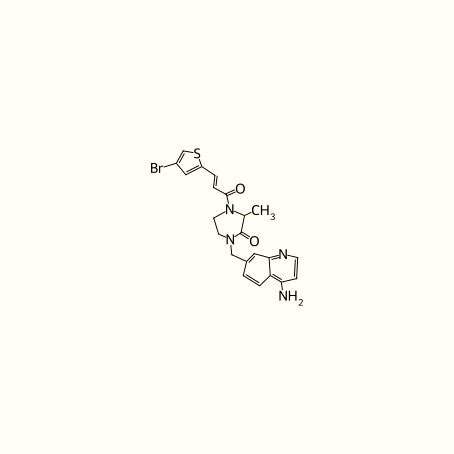 CC1C(=O)N(Cc2ccc3c(N)ccnc3c2)CCN1C(=O)/C=C/c1cc(Br)cs1